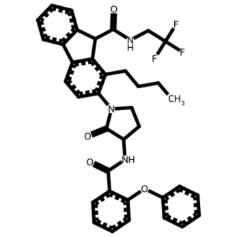 CCCCc1c(N2CCC(NC(=O)c3ccccc3Oc3ccccc3)C2=O)ccc2c1C(C(=O)NCC(F)(F)F)c1ccccc1-2